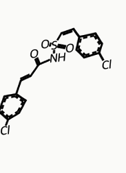 O=C(/C=C/c1ccc(Cl)cc1)NS(=O)(=O)/C=C\c1ccc(Cl)cc1